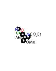 CCOC(=O)c1ccc(-c2c(OC)cccc2OC)c(-c2ccc(Cl)c(OC3CCN(C)C3)c2)n1